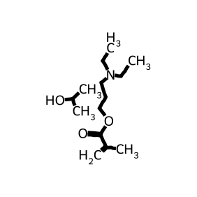 C=C(C)C(=O)OCCCN(CC)CC.CC(C)O